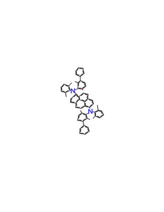 Cc1cccc(C)c1N(c1c(C)ccc(-c2ccccc2)c1C)c1ccc2ccc3c(N(c4c(C)cccc4C)c4c(C)ccc(-c5ccccc5)c4C)ccc4ccc1c2c43